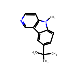 Cn1c2ccncc2c2cc(C(C)(C)C)ccc21